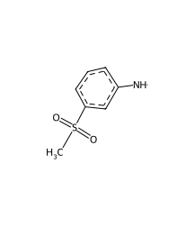 CS(=O)(=O)c1cccc([NH])c1